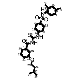 Cc1ccc(NS(=O)(=O)c2ccc(NC(=S)NC(=O)c3cccc(OCCC(C)C)c3)cc2)c(C)c1